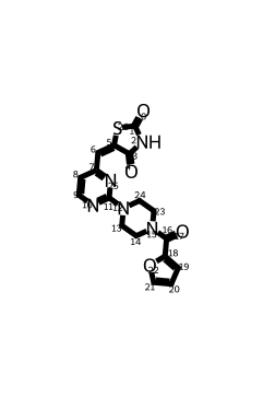 O=C1NC(=O)/C(=C\c2ccnc(N3CCN(C(=O)c4ccco4)CC3)n2)S1